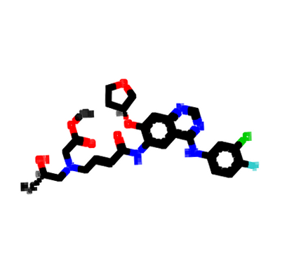 C[C@H](O)CN(CC=CC(=O)Nc1cc2c(Nc3ccc(F)c(Cl)c3)ncnc2cc1O[C@@H]1CCOC1)CC(=O)OC(C)(C)C